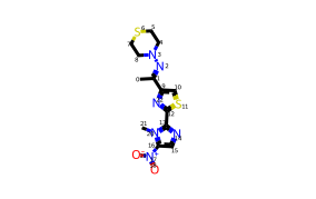 C/C(=N\N1CCSCC1)c1csc(-c2ncc([N+](=O)[O-])n2C)n1